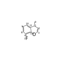 CC1C=COc2c(F)cccc21